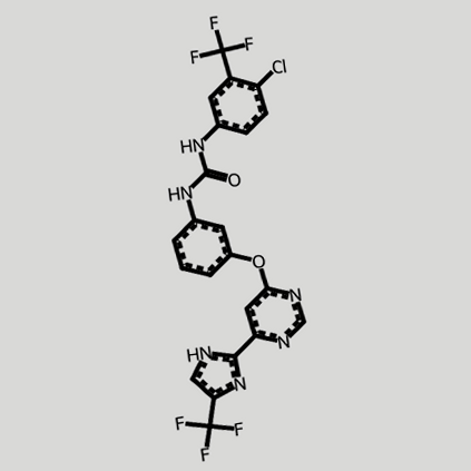 O=C(Nc1cccc(Oc2cc(-c3nc(C(F)(F)F)c[nH]3)ncn2)c1)Nc1ccc(Cl)c(C(F)(F)F)c1